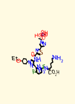 CCOC1CCC(n2cc(NC(=O)c3csc(-c4cnn(C(C)OP(=O)(O)O)c4)n3)c(-c3nc(F)ccc3F)n2)CC1.NCCCC[C@H](N)C(=O)O